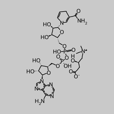 C[N+](C)(C)C[C@H](O)CC(=O)[O-].NC(=O)C1=CN([C@@H]2O[C@H](COP(=O)(O)OP(=O)(O)OC[C@H]3O[C@@H](n4cnc5c(N)ncnc54)[C@H](O)[C@@H]3O)[C@@H](O)[C@H]2O)C=CC1